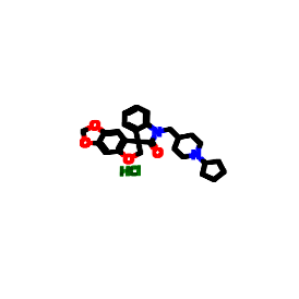 Cl.O=C1N(CC2CCN(C3CCCC3)CC2)c2ccccc2C12COc1cc3c(cc12)OCO3